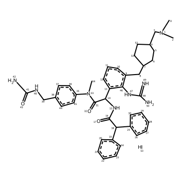 CN(C)CC1CCC(Cc2cccc(C(NC(=O)C(c3ccccc3)c3ccccc3)C(=O)N(C)c3ccc(CNC(N)=O)cc3)c2NC(=N)N)CC1.I